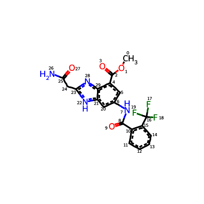 COC(=O)c1cc(NC(=O)c2ccccc2C(F)(F)F)cc2[nH]c(CC(N)=O)nc12